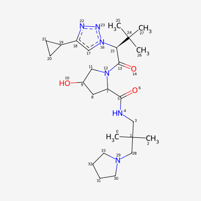 CC(C)(CNC(=O)C1CC(O)CN1C(=O)[C@@H](n1cc(C2CC2)nn1)C(C)(C)C)CN1CCCC1